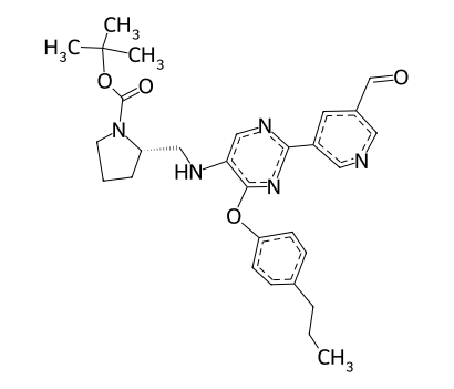 CCCc1ccc(Oc2nc(-c3cncc(C=O)c3)ncc2NC[C@@H]2CCCN2C(=O)OC(C)(C)C)cc1